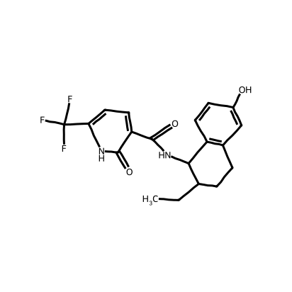 CCC1CCc2cc(O)ccc2C1NC(=O)c1ccc(C(F)(F)F)[nH]c1=O